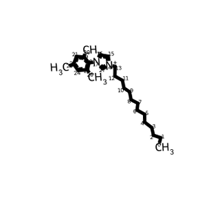 CCCCCCCCCCCCCC[n+]1ccn(-c2c(C)cc(C)cc2C)c1